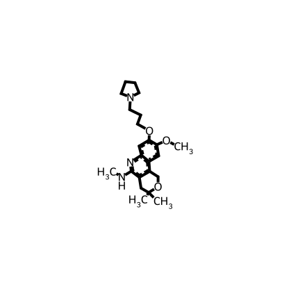 CNc1nc2cc(OCCCN3CCCC3)c(OC)cc2c2c1CC(C)(C)OC2